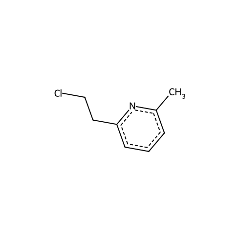 Cc1cccc(CCCl)n1